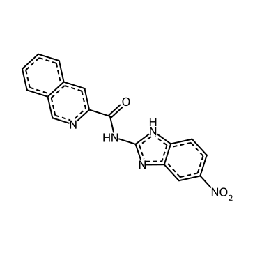 O=C(Nc1nc2cc([N+](=O)[O-])ccc2[nH]1)c1cc2ccccc2cn1